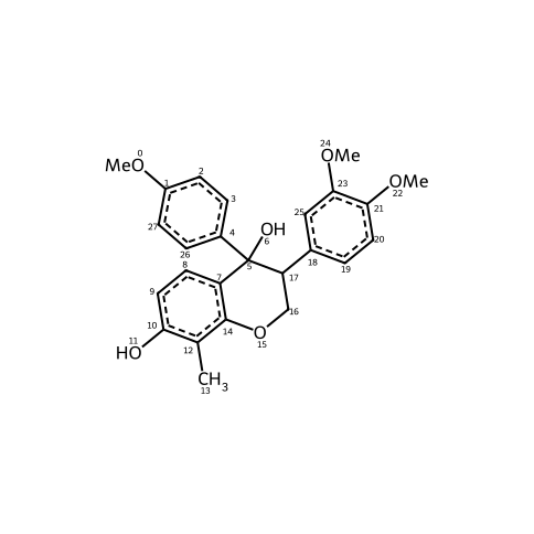 COc1ccc(C2(O)c3ccc(O)c(C)c3OCC2c2ccc(OC)c(OC)c2)cc1